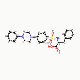 O=C(O)C(Cc1ccccc1)NS(=O)(=O)c1ccc(N2CCN(c3ccccc3)CC2)cc1